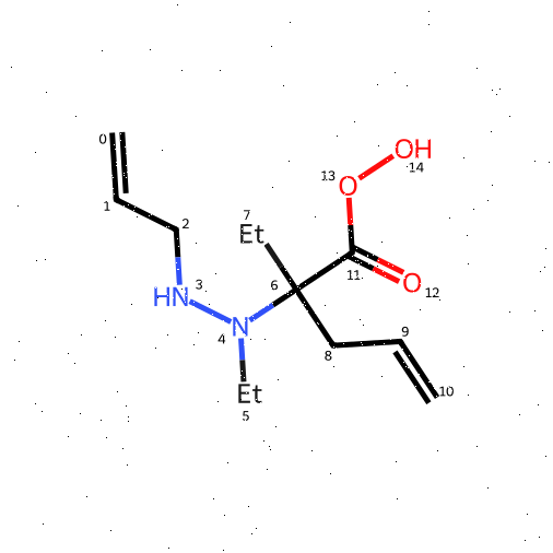 C=CCNN(CC)C(CC)(CC=C)C(=O)OO